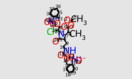 CC(=O)OCC(C)C1C(CCNC(=O)OCc2ccccc2[N+](=O)[O-])C(=O)N1C(Cl)C(=O)OCc1ccccc1[N+](=O)[O-]